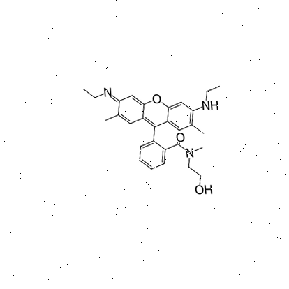 CC/N=c1/cc2oc3cc(NCC)c(C)cc3c(-c3ccccc3C(=O)N(C)CCO)c-2cc1C